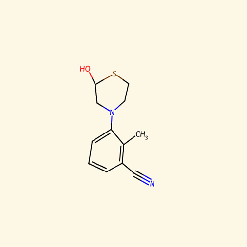 Cc1c(C#N)cccc1N1CCSC(O)C1